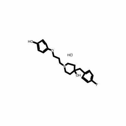 Cl.Oc1ccc(OCCCN2CCC(O)(Cc3ccc(F)cc3)CC2)cc1